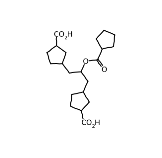 O=C(O)C1CCC(CC(CC2CCC(C(=O)O)C2)OC(=O)C2CCCC2)C1